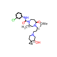 COC[C@H](CCN1CCC2(CC2)[C@H](O)C1)N1C[C@@H](C)N(C(=O)Nc2cccc(Cl)c2)CCC1=O